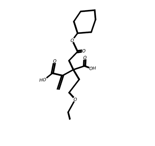 C=C(C(=O)O)C(CCOCC)(CC(=O)OC1CCCCC1)C(=O)O